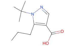 CCCc1c(C(=O)O)cnn1C(C)(C)C